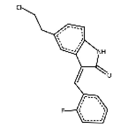 O=C1Nc2ccc(CCCl)cc2C1=Cc1ccccc1F